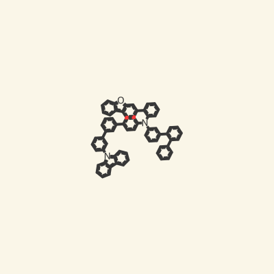 c1ccc(-c2ccccc2-c2cccc(N(c3ccc(-c4cccc(-c5cccc(-n6c7ccccc7c7ccccc76)c5)c4)cc3)c3ccccc3-c3ccc4c(c3)oc3ccccc34)c2)cc1